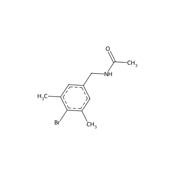 CC(=O)NCc1cc(C)c(Br)c(C)c1